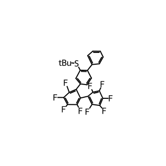 CC(C)(C)Sc1cc(-c2c(F)c(F)c(F)c(F)c2-c2c(F)c(F)c(F)c(F)c2F)ccc1-c1ccccc1